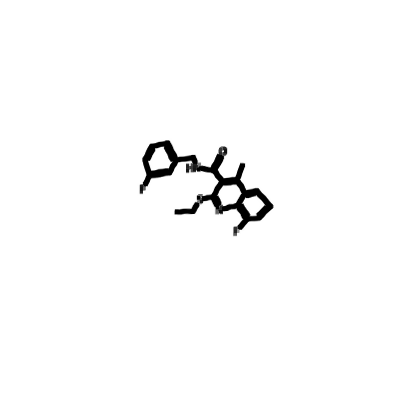 CCSc1nc2c(F)cccc2c(C)c1C(=O)NCc1cccc(F)c1